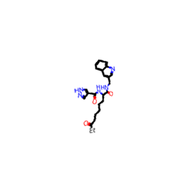 CCC(=O)CCCCCC(NC(=O)c1cn[nH]c1)C(=O)NCc1cnc2ccccc2c1